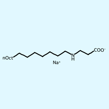 CCCCCCCCCCCCCCCNCCC(=O)[O-].[Na+]